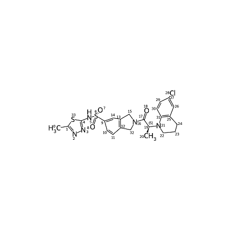 Cc1nnc(NS(=O)(=O)c2ccc3c(c2)CN(C(=O)[C@H](C)N2CCCc4cc(Cl)ccc42)C3)s1